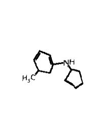 CC1C=CC=C(NC2CCCC2)C1